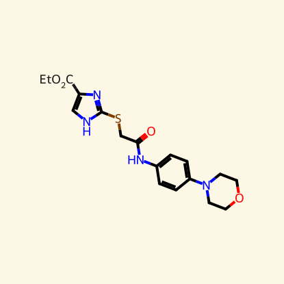 CCOC(=O)c1c[nH]c(SCC(=O)Nc2ccc(N3CCOCC3)cc2)n1